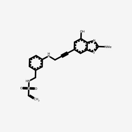 C=CS(=O)(=O)NCc1cccc(NCC#Cc2cc(O)c3nc(NC)sc3c2)c1